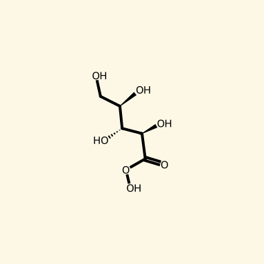 O=C(OO)[C@H](O)[C@H](O)[C@H](O)CO